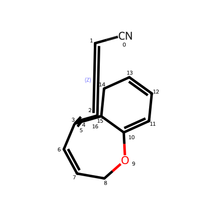 N#C/C=C1/CC=C2C=CCOC3=CC=CCC23C1